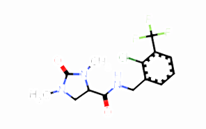 CN1CC(C(=O)NCc2cccc(C(F)(F)F)c2Cl)N(C)C1=O